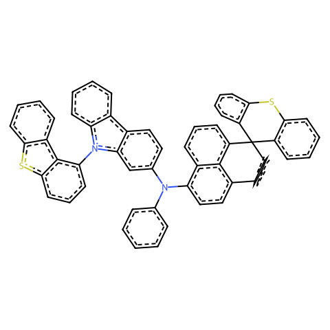 c1ccc(N(c2ccc3c4ccccc4n(-c4cccc5sc6ccccc6c45)c3c2)c2ccc3c4c(cccc24)C2(c4ccccc4Sc4ccccc42)c2ccccc2-3)cc1